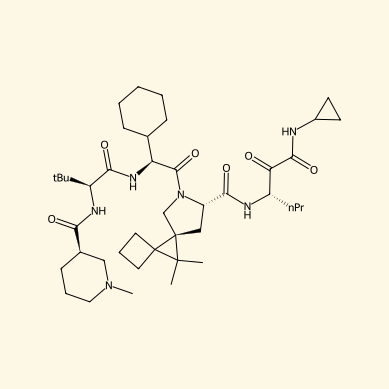 CCC[C@H](NC(=O)[C@@H]1C[C@@]2(CN1C(=O)[C@@H](NC(=O)[C@@H](NC(=O)[C@@H]1CCCN(C)C1)C(C)(C)C)C1CCCCC1)C(C)(C)C21CCC1)C(=O)C(=O)NC1CC1